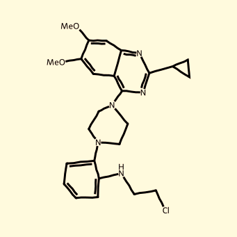 COc1cc2nc(C3CC3)nc(N3CCN(c4ccccc4NCCCl)CC3)c2cc1OC